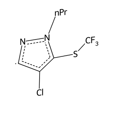 CCCn1n[c]c(Cl)c1SC(F)(F)F